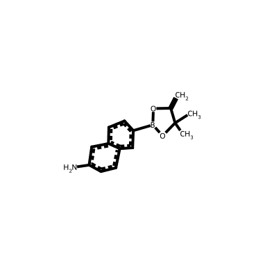 C=C1OB(c2ccc3cc(N)ccc3c2)OC1(C)C